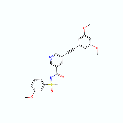 COc1cc(C#Cc2cncc(C(=O)N=S(C)(=O)c3cccc(OC)c3)c2)cc(OC)c1